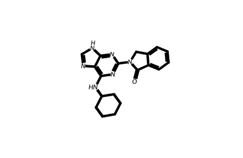 O=C1c2ccccc2CN1c1nc(NC2CCCCC2)c2nc[nH]c2n1